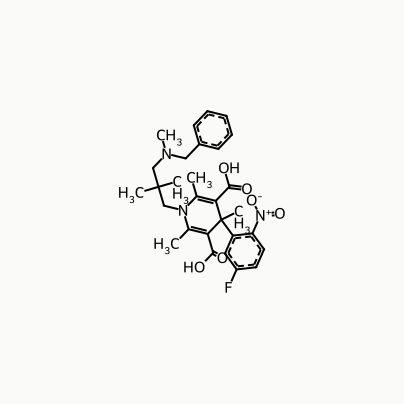 CC1=C(C(=O)O)C(C)(c2cc(F)ccc2[N+](=O)[O-])C(C(=O)O)=C(C)N1CC(C)(C)CN(C)Cc1ccccc1